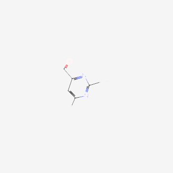 Cc1cc([C]=O)nc(C)n1